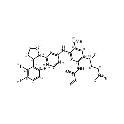 C=CC(=O)Nc1cc(Nc2cc(N3OCC[C@@H]3c3c(F)ccc(F)c3F)ncn2)c(OC)cc1N(C)CCN(C)C